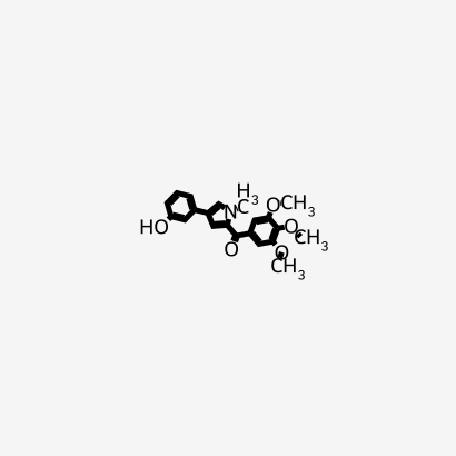 COc1cc(C(=O)c2cc(-c3cccc(O)c3)cn2C)cc(OC)c1OC